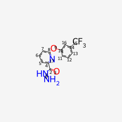 NNC(=O)c1cccc(Oc2cccc(C(F)(F)F)c2)n1